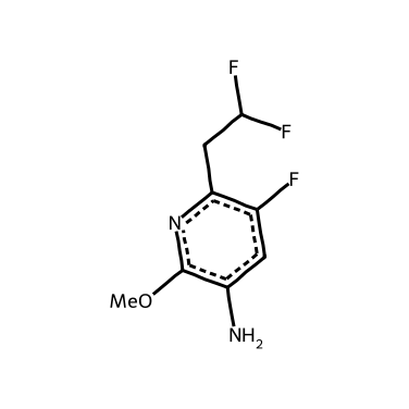 COc1nc(CC(F)F)c(F)cc1N